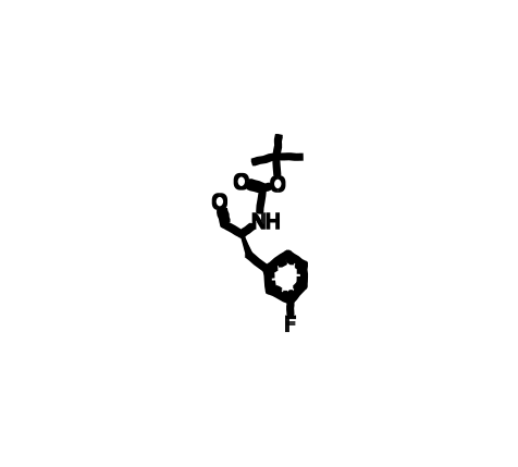 CC(C)(C)OC(=O)N[C@H](C=O)Cc1cccc(F)c1